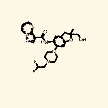 CC1(CO)Cc2cc(NC(=O)c3cnn4cccnc34)c(N3CCN(CC(F)F)CC3)cc2O1